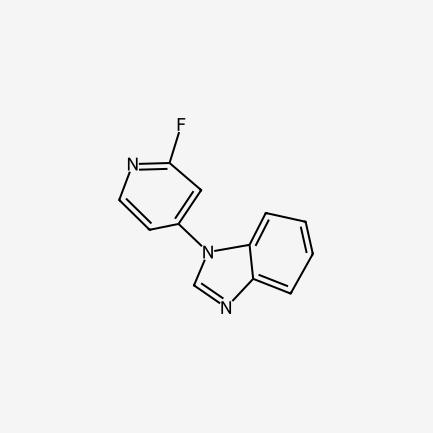 Fc1cc(-n2cnc3ccccc32)ccn1